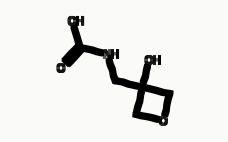 O=C(O)NCC1(O)COC1